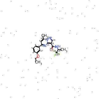 CCOc1cccc(-c2cc(C)n3ncc(C(=O)NC(C)C(F)(F)F)c3n2)c1